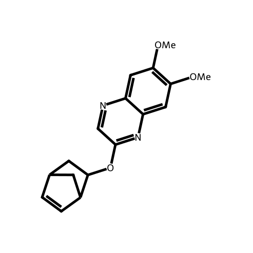 COc1cc2ncc(OC3CC4C=CC3C4)nc2cc1OC